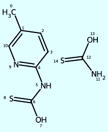 Cc1ccc(NC(O)=S)nc1.NC(O)=S